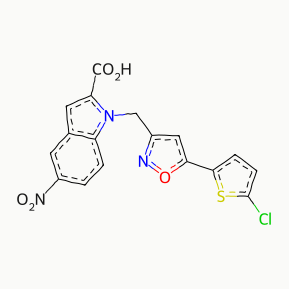 O=C(O)c1cc2cc([N+](=O)[O-])ccc2n1Cc1cc(-c2ccc(Cl)s2)on1